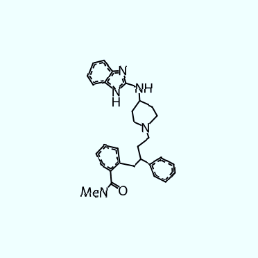 CNC(=O)c1ccccc1CC(CCN1CCC(Nc2nc3ccccc3[nH]2)CC1)c1ccccc1